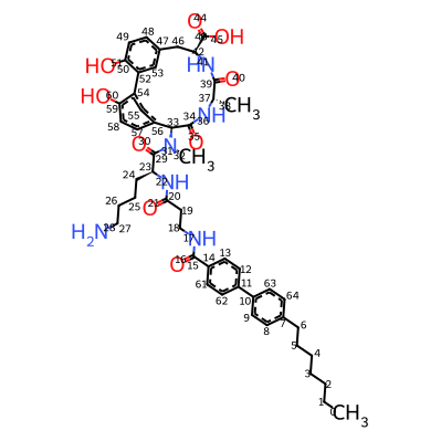 CCCCCCCc1ccc(-c2ccc(C(=O)NCCC(=O)N[C@@H](CCCCN)C(=O)N(C)[C@@H]3C(=O)N[C@@H](C)C(=O)N[C@H](C(=O)O)Cc4ccc(O)c(c4)-c4cc3ccc4O)cc2)cc1